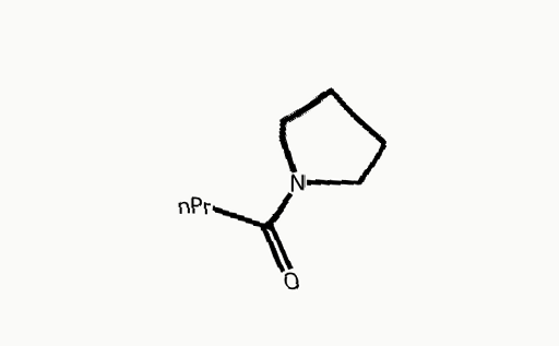 [CH2]CCC(=O)N1CCCC1